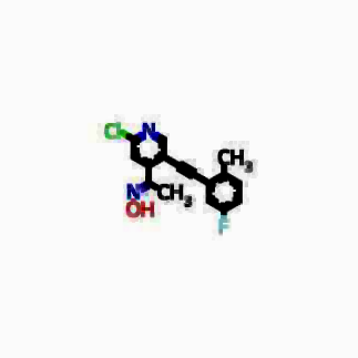 C/C(=N\O)c1cc(Cl)ncc1C#Cc1cc(F)ccc1C